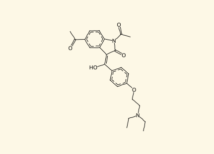 CCN(CC)CCOc1ccc(C(O)=C2C(=O)N(C(C)=O)c3ccc(C(C)=O)cc32)cc1